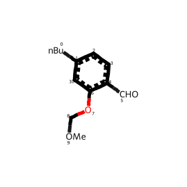 CCCCc1ccc(C=O)c(OCOC)c1